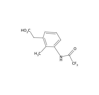 Cc1c(CC(=O)O)cccc1NC(=O)C(F)(F)F